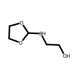 OCCBC1OCCO1